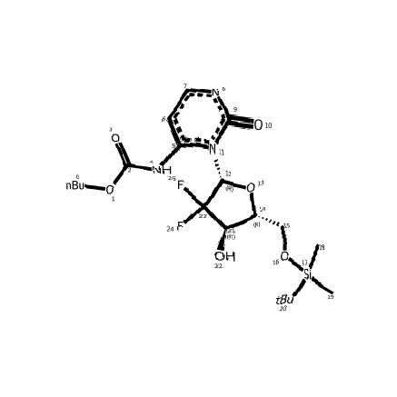 CCCCOC(=O)Nc1ccnc(=O)n1[C@@H]1O[C@H](CO[Si](C)(C)C(C)(C)C)[C@@H](O)C1(F)F